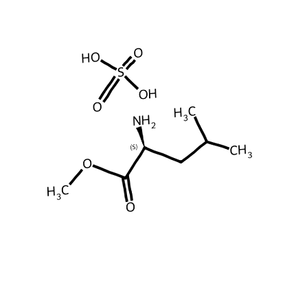 COC(=O)[C@@H](N)CC(C)C.O=S(=O)(O)O